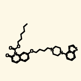 CCCCCCOC(=O)n1c(=O)ccc2ccc(OCCCCN3CCN(c4cccc5sccc45)CC3)cc21